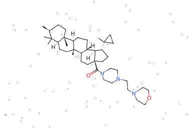 C[C@H]1CC[C@]2(C)[C@H]3CC[C@@H]4[C@H]5[C@H](C6(C)CC6)CC[C@]5(C(=O)N5CCN(CCN6CCOCC6)CC5)CC[C@@]4(C)[C@]3(C)CC[C@H]2C1(C)C